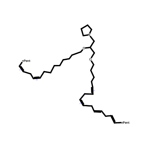 CCCCCC=CCC=CC/C=C\C/C=C\CCCCOCC(CN1CCCC1)OCCCCCCCC/C=C\C/C=C\CCCCC